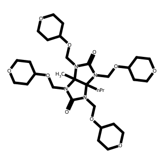 CCCC12N(COC3CCOCC3)C(=O)N(COC3CCOCC3)C1(C)N(COC1CCOCC1)C(=O)N2COC1CCOCC1